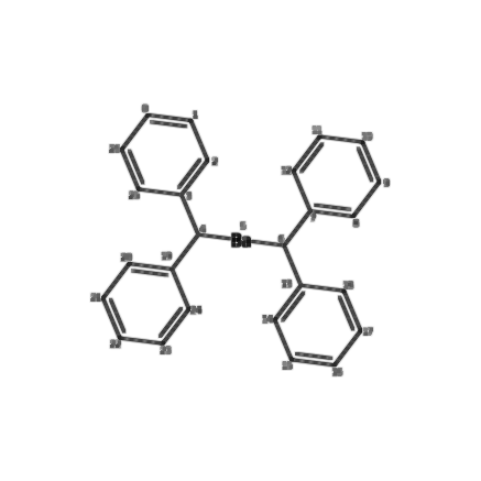 c1ccc([CH]([Ba][CH](c2ccccc2)c2ccccc2)c2ccccc2)cc1